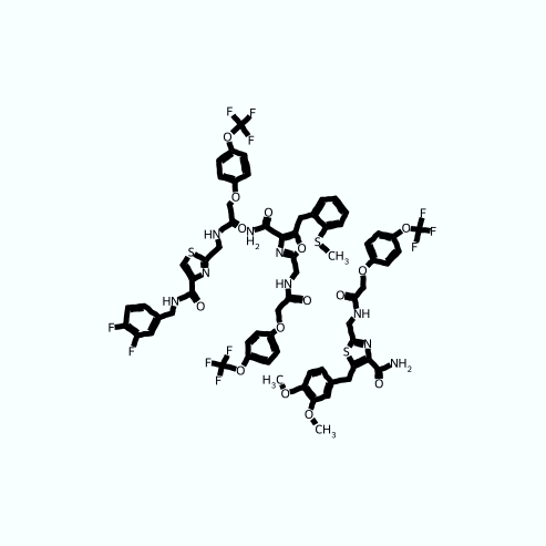 COc1ccc(Cc2sc(CNC(=O)COc3ccc(OC(F)(F)F)cc3)nc2C(N)=O)cc1OC.CSc1ccccc1Cc1oc(CNC(=O)COc2ccc(OC(F)(F)F)cc2)nc1C(N)=O.O=C(COc1ccc(OC(F)(F)F)cc1)NCc1nc(C(=O)NCc2ccc(F)c(F)c2)cs1